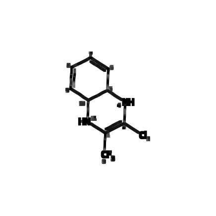 FC(F)(F)C1=C(Cl)NC2C=CC=CC2N1